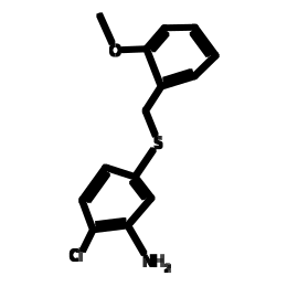 COc1ccccc1CSc1ccc(Cl)c(N)c1